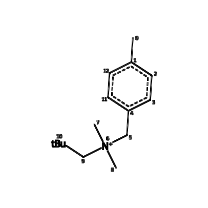 Cc1ccc(C[N+](C)(C)CC(C)(C)C)cc1